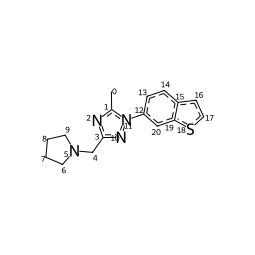 Cc1nc(CN2CCCC2)nn1-c1ccc2ccsc2c1